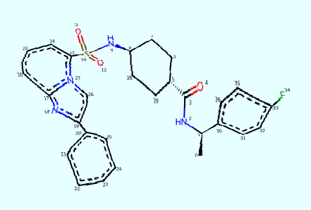 C[C@@H](NC(=O)[C@H]1CC[C@H](NS(=O)(=O)c2cccc3nc(-c4ccccc4)cn23)CC1)c1ccc(F)cc1